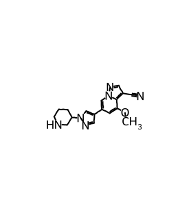 COc1cc(-c2cnn(C3CCCNC3)c2)cn2ncc(C#N)c12